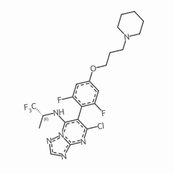 C[C@@H](Nc1c(-c2c(F)cc(OCCCN3CCCCC3)cc2F)c(Cl)nc2ncnn12)C(F)(F)F